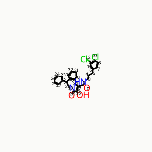 O=C(NCCCc1ccc(Cl)c(Cl)c1)C1=C(O)C(=O)N(CC(c2ccccc2)c2ccccc2)C1